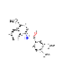 COc1ccc(C(=O)Nc2ccc(C(=O)O)c3ccccc23)cc1OC